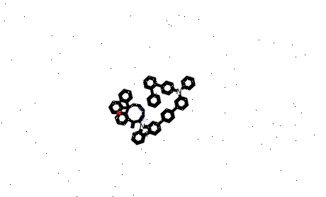 C=C1/C(n2c3ccccc3c3ccc(-c4ccc(-c5cccc(N(c6ccccc6)c6ccc(-c7ccccc7-c7ccccc7)cc6)c5)cc4)cc32)=C\C=C/CC(c2ccccc2)(c2ccccc2)c2ccccc21